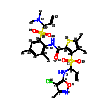 C=CC(Nc1onc(C)c1Cl)S(=O)(=O)c1c(C(=O)Nc2c(C)cc(C)cc2S(=O)(=O)C(C=C)N(C)C)sc(C)c1C